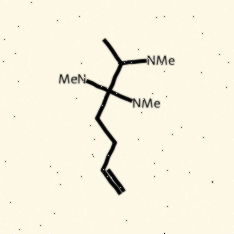 C=CCCC(NC)(NC)C(C)NC